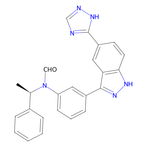 C[C@H](c1ccccc1)N(C=O)c1cccc(-c2n[nH]c3ccc(-c4ncn[nH]4)cc23)c1